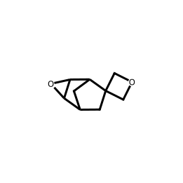 C1C2CC3(COC3)C1C1OC21